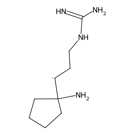 N=C(N)NCC[CH]C1(N)CCCC1